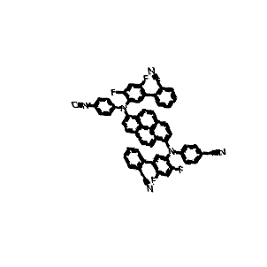 [C-]#[N+]c1ccc(N(c2cc(-c3ccccc3C#N)c(F)cc2F)c2ccc3ccc4c(N(c5ccc(C#N)cc5)c5cc(-c6ccccc6C#N)c(F)cc5F)ccc5ccc2c3c54)cc1